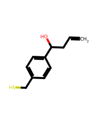 C=CCC(O)c1ccc(CS)cc1